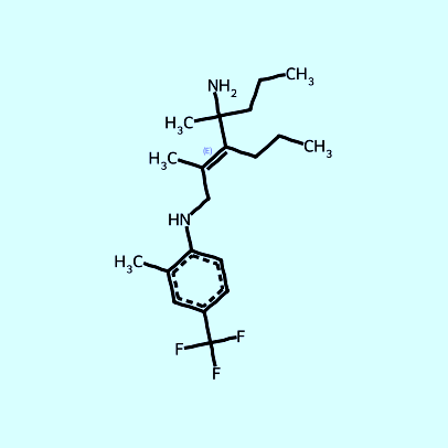 CCC/C(=C(/C)CNc1ccc(C(F)(F)F)cc1C)C(C)(N)CCC